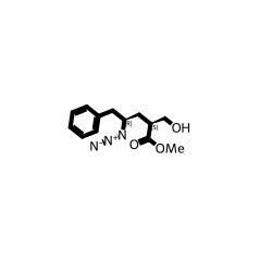 COC(=O)[C@H](CO)C[C@H](Cc1ccccc1)N=[N+]=[N-]